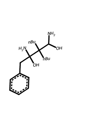 CCCCC(CCCC)(C(N)O)C(N)(O)Cc1ccccc1